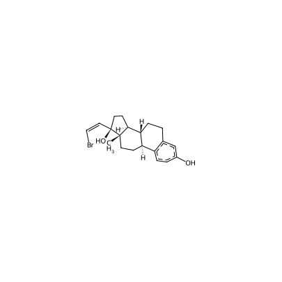 C[C@]12CC[C@@H]3c4ccc(O)cc4CC[C@H]3[C@@H]1CC[C@@]2(O)/C=C\Br